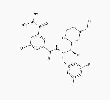 CCCN(CCC)C(=O)c1cc(C)cc(C(=O)N[C@@H](Cc2cc(F)cc(F)c2)[C@H](O)[C@H]2CN(CC(C)C)CCN2)c1